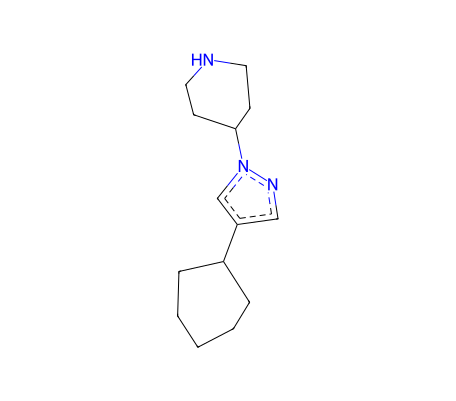 c1nn(C2CCNCC2)cc1C1CCCCC1